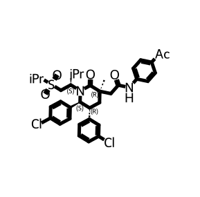 CC(=O)c1ccc(NC(=O)C[C@@]2(C)C[C@H](c3cccc(Cl)c3)[C@@H](c3ccc(Cl)cc3)N([C@H](CS(=O)(=O)C(C)C)C(C)C)C2=O)cc1